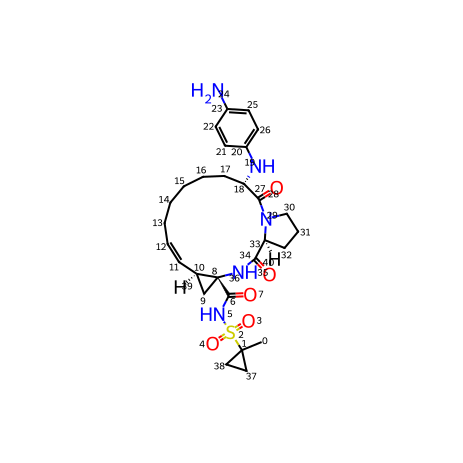 CC1(S(=O)(=O)NC(=O)[C@@]23C[C@H]2/C=C\CCCCC[C@H](Nc2ccc(N)cc2)C(=O)N2CCC[C@H]2C(=O)N3)CC1